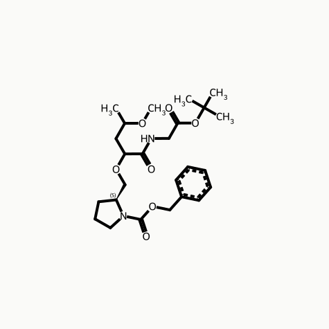 COC(C)CC(OC[C@@H]1CCCN1C(=O)OCc1ccccc1)C(=O)NCC(=O)OC(C)(C)C